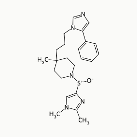 Cc1nc([S+]([O-])N2CCC(C)(CCCn3cncc3-c3ccccc3)CC2)cn1C